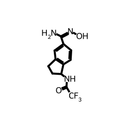 N/C(=N/O)c1ccc2c(c1)CCC2NC(=O)C(F)(F)F